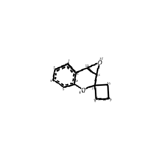 c1ccc2c(c1)OC1(CCC1)C1OC21